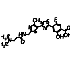 Cc1nc(CNC(=O)CCN(C)C)sc1-c1csc(-c2cc(O)c(C(=O)O)cc2F)n1